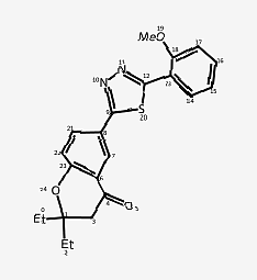 CCC1(CC)CC(=O)c2cc(-c3nnc(-c4ccccc4OC)s3)ccc2O1